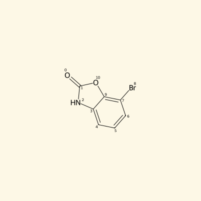 O=c1[nH]c2cccc(Br)c2o1